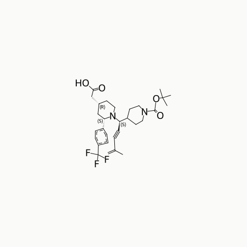 C=C(C)C#C[C@H](C1CCN(C(=O)OC(C)(C)C)CC1)N1CC[C@@H](CC(=O)O)C[C@H]1c1ccc(C(F)(F)F)cc1